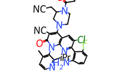 C=CC(=O)N1CCN(c2c(C#N)c(=O)n(-c3c(C)ccnc3C(C)C)c3nc(-c4c(N)cccc4F)c(Cl)cc23)CC1CC#N